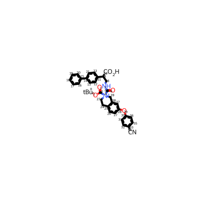 CC(C)(C)OC(=O)[N+]1(C(=O)NCC(C(=O)O)c2ccc(-c3ccccc3)cc2)CCc2ccc(Oc3ccc(C#N)cc3)cc2C1